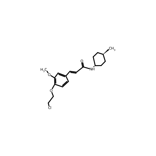 COc1cc(C=CC(=O)N[C@H]2CC[C@H](C)CC2)ccc1OCCCl